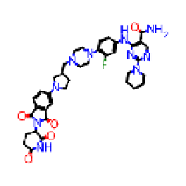 NC(=O)c1cnc(N2CCCCC2)nc1Nc1ccc(N2CCN(CC3CCN(c4ccc5c(c4)C(=O)N(C4CCC(=O)NC4=O)C5=O)C3)CC2)c(F)c1